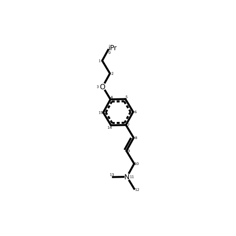 CC(C)CCOc1ccc(C=CCN(C)C)cc1